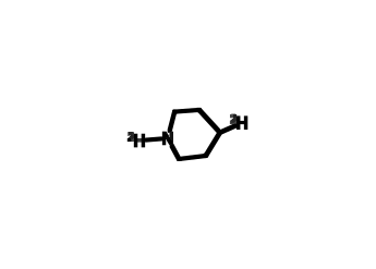 [2H]C1CCN([2H])CC1